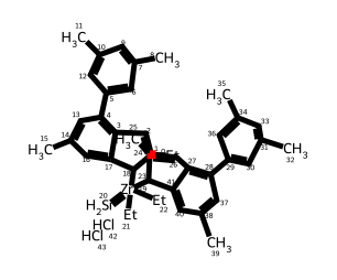 CCC1=Cc2c(-c3cc(C)cc(C)c3)cc(C)cc2[CH]1[Zr](=[SiH2])([CH2]C)([CH2]C)[CH]1C(C)=Cc2c(-c3cc(C)cc(C)c3)cc(C)cc21.Cl.Cl